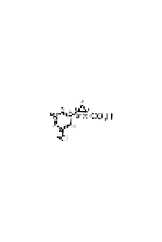 O=C(O)[C@H]1C[C@@H]1c1cncc(Cl)c1